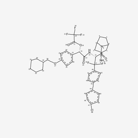 NC1CC2CCC(C1)N2C(=O)[C@@H](NC(=O)[C@@H](OC(=O)C(F)(F)F)c1ccc(OCC2CCCCC2)cc1)C(F)(F)c1ccc(-c2ccc(Cl)cc2)cc1